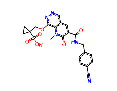 Cn1c(=O)c(C(=O)NCc2ccc(C#N)cc2)cc2cnnc(OCC3(S(=O)(=O)O)CC3)c21